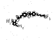 Nc1ccc(N)c(COC(=O)C=Cc2ccc(OC(=O)c3ccc(OCCCCC(F)(F)F)cc3)cc2)c1